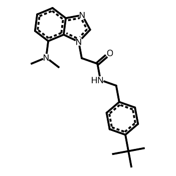 CN(C)c1cccc2ncn(CC(=O)NCc3ccc(C(C)(C)C)cc3)c12